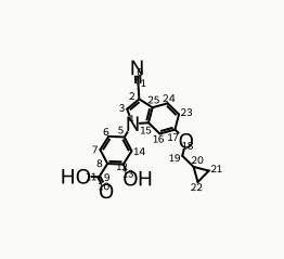 N#Cc1cn(-c2ccc(C(=O)O)c(O)c2)c2cc(OCC3CC3)ccc12